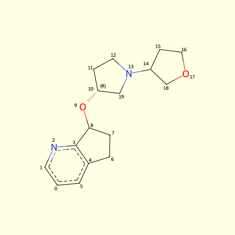 c1cnc2c(c1)CCC2O[C@@H]1CCN(C2CCOC2)C1